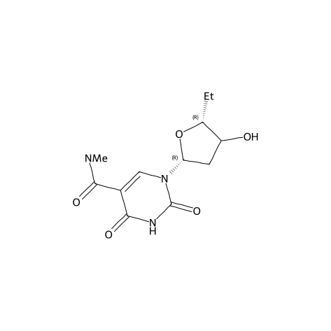 CC[C@H]1O[C@@H](n2cc(C(=O)NC)c(=O)[nH]c2=O)CC1O